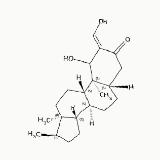 C[C@@H]1CC[C@H]2[C@@H]3CC[C@H]4CC(=O)C(=CO)C(O)[C@]4(C)[C@H]3CC[C@]12C